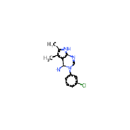 Cc1[nH]c2c(c1C)C([N])N(c1cccc(Cl)c1)C=N2